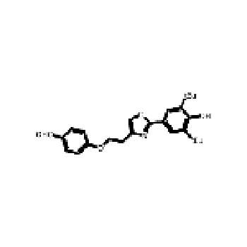 CC(C)(C)c1cc(-c2nc(CCOc3ccc(C=O)cc3)co2)cc(C(C)(C)C)c1O